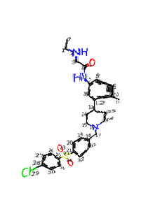 CCNCC(=O)Nc1ccc(C)c(C2CCN(Cc3ccc(S(=O)(=O)c4ccc(Cl)cc4)cc3)CC2)c1